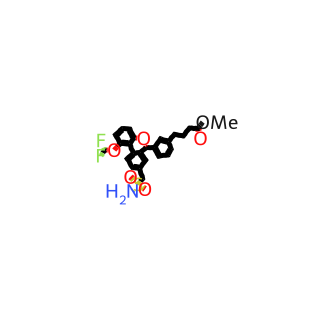 COC(=O)CCCc1cccc(C2Oc3cccc(OC(F)F)c3-c3ccc(CS(N)(=O)=O)cc32)c1